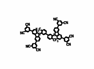 N#Cc1cc(C#N)cc(-c2ccc3c(c2)c2cc(-c4cc(C#N)cc(C#N)c4)ccc2n3-c2cc(-c3ccc(C(F)(F)F)c(-n4c5ccc(-c6cc(C#N)cc(C#N)c6)cc5c5cc(-c6cc(C#N)cc(C#N)c6)ccc54)c3)ccc2C(F)(F)F)c1